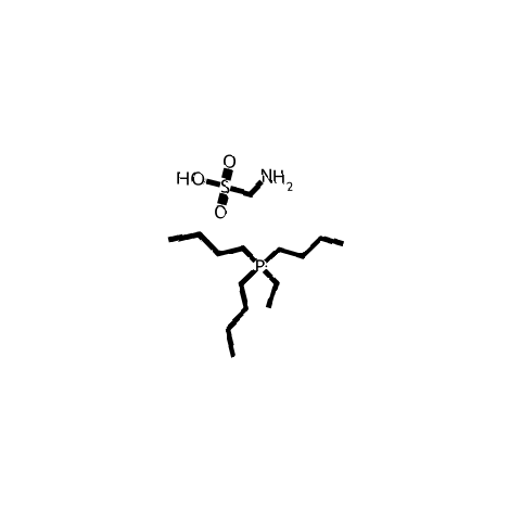 CCCC[P](CC)(CCCC)CCCC.NCS(=O)(=O)O